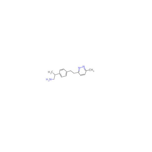 Cc1ccc(CCc2ccc(C(C)CN)cc2)nn1